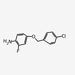 Nc1ccc(OCc2ccc(Cl)cc2)cc1F